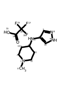 CN1CCC(Nc2cn[nH]c2)CC1.O=C(O)C(F)(F)F